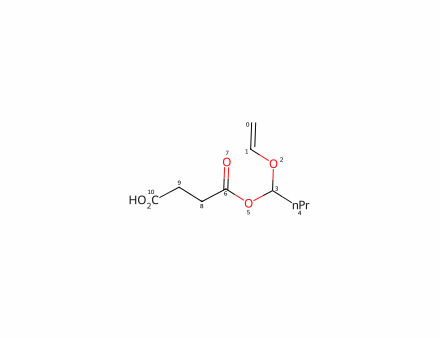 C=COC(CCC)OC(=O)CCC(=O)O